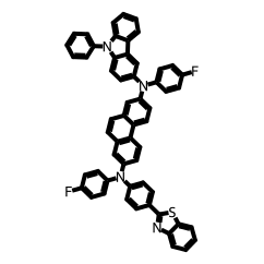 Fc1ccc(N(c2ccc(-c3nc4ccccc4s3)cc2)c2ccc3c(ccc4cc(N(c5ccc(F)cc5)c5ccc6c(c5)c5ccccc5n6-c5ccccc5)ccc43)c2)cc1